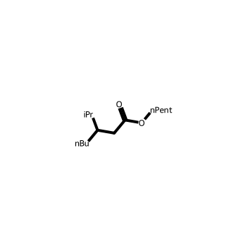 CCCCCOC(=O)CC(CCCC)C(C)C